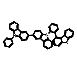 c1cc2sc3ccccc3c2c(-c2ccccc2-n2c3c(c4cc(-c5ccc6c(c5)c5ccccc5n6-c5ccccc5)ccc42)C=CCC3)c#1